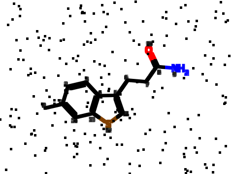 Cc1ccc2c(CCC(N)=O)csc2c1